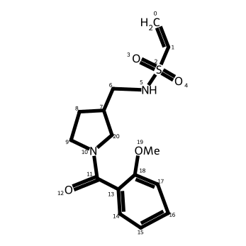 C=CS(=O)(=O)NCC1CCN(C(=O)c2ccccc2OC)C1